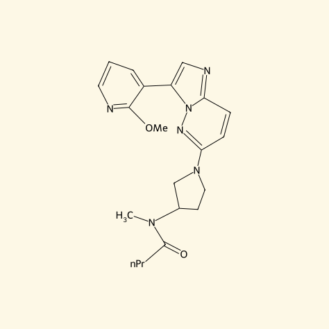 CCCC(=O)N(C)C1CCN(c2ccc3ncc(-c4cccnc4OC)n3n2)C1